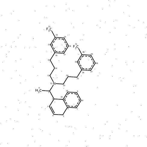 CC(C1C=CCc2ccccc21)N(CCCc1cccc(C(F)(F)F)c1)CCCc1cccc(C(F)(F)F)c1